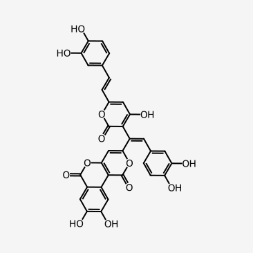 O=c1oc(/C=C/c2ccc(O)c(O)c2)cc(O)c1/C(=C/c1ccc(O)c(O)c1)c1cc2oc(=O)c3cc(O)c(O)cc3c2c(=O)o1